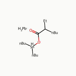 CCCCC(CC)C(=O)[O][SnH]([CH2]CCC)[CH2]CCC.[PbH2]